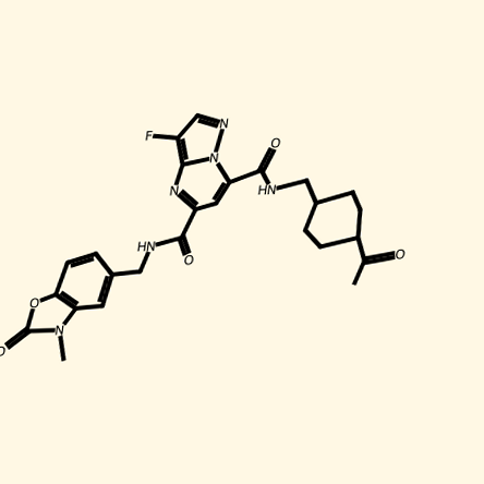 CC(=O)C1CCC(CNC(=O)c2cc(C(=O)NCc3ccc4oc(=O)n(C)c4c3)nc3c(F)cnn23)CC1